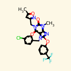 Cc1cc(Cn2c(=O)c3c(nc(Oc4cccc(C(F)(F)F)c4)n3Cc3ccc(Cl)cc3)n(C)c2=O)no1